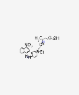 CCN(CCO/N=C(\C)CCOCO)c1ccc(/N=N\c2ccc([N+](=O)[O-])c3ccccc23)cc1